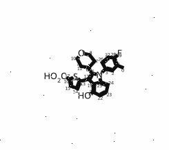 Cc1cc(-n2c(C3CCOCC3)c(-c3ccc(C(=O)O)s3)c3c(O)cccc32)ccc1F